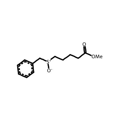 COC(=O)CCCC[S+]([O-])Cc1ccccc1